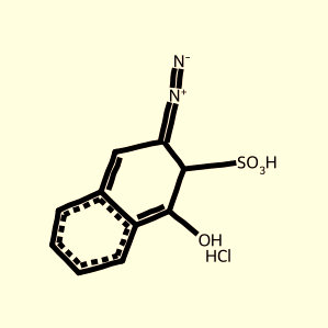 Cl.[N-]=[N+]=C1C=c2ccccc2=C(O)C1S(=O)(=O)O